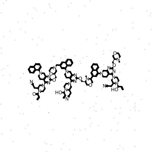 C=CC(=O)N1CCN(c2nc(OC[C@@H]3CN(Cc4cc(N5CCc6c(nc(OC[C@@H]7COCC(c8cc(N9CCc%10c(nc(OC[C@H]%11COCCN%11C)nc%10N%10CCN(C(O)C=C)C(CC#N)C%10)C9)c9ccccc9c8)N7C)nc6N6CCN(C(O)C=C)C(CC#N)C6)C5)c5ccccc5c4)CCO3)nc3c2CCN(c2cccc4ccccc24)C3)CC1CC#N